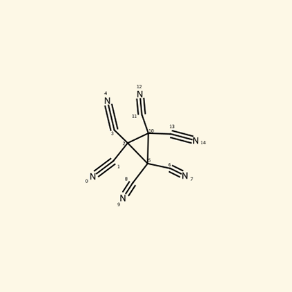 N#CC1(C#N)C(C#N)(C#N)C1(C#N)C#N